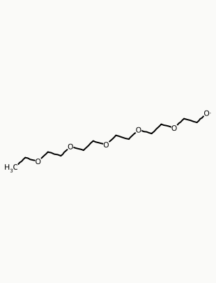 CCOCCOCCOCCOCCOCC[O]